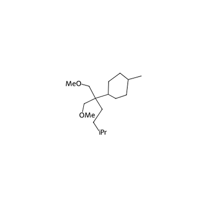 COCC(CCC(C)C)(COC)C1CCC(C)CC1